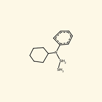 [SiH3][SiH2]N(c1ccccc1)C1CCCCC1